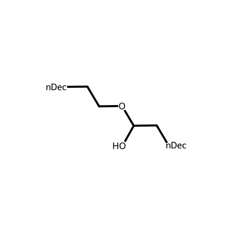 CCCCCCCCCCCCOC(O)CCCCCCCCCCC